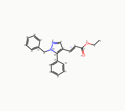 CCOC(=O)/C=C/c1cnn(Cc2ccccc2)c1-c1ccccc1